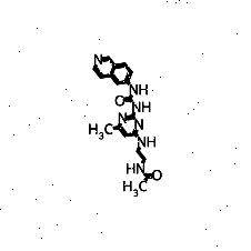 CC(=O)NCCNc1cc(C)nc(NC(=O)Nc2ccc3cnccc3c2)n1